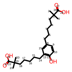 CC(C)(CCCCCc1ccc(O)c(CCCCCC(C)(C)C(=O)O)c1)C(=O)O